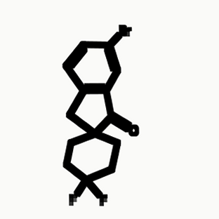 O=C1c2cc(Br)ccc2CC12CCC(F)(F)CC2